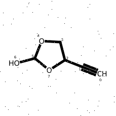 C#CC1COC(O)O1